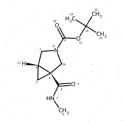 CNC(=O)[C@@]12C[C@@H]1CN(C(=O)OC(C)(C)C)C2